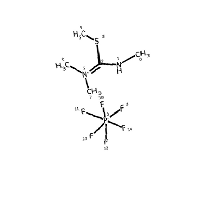 CNC(SC)=[N+](C)C.F[P-](F)(F)(F)(F)F